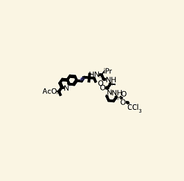 CC(=O)O[C@H](C)c1ccc2ccc(/C=C/C(C)(C)C(C)N[C@H](C(=O)N[C@@H](C)C(=O)N3CCC[C@@H](C(=O)OCC(Cl)(Cl)Cl)N3)C(C)C)cc2n1